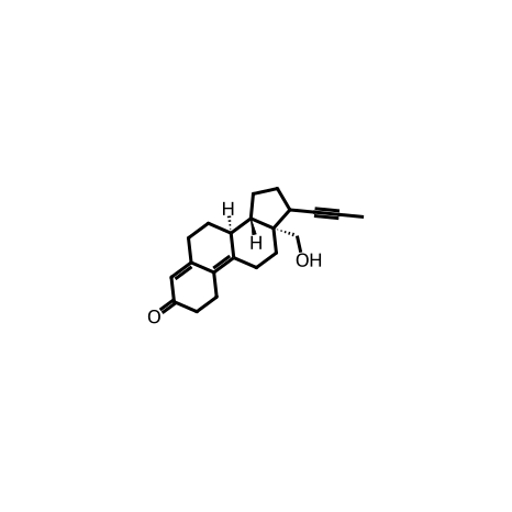 CC#CC1CC[C@H]2[C@@H]3CCC4=CC(=O)CCC4=C3CC[C@]12CO